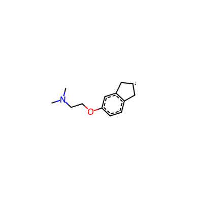 CN(C)CCOc1ccc2c(c1)C[C]C2